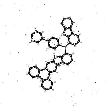 c1ccc2c(c1)sc1c(N(c3ccc(-c4cncnc4)cc3)c3cccc4c3oc3cc5c6ccccc6c6ccccc6c5cc34)cccc12